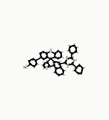 N#Cc1ccc(-c2ccc3c(c2)C2(c4ccccc4O3)c3ccccc3-c3c2cc(-c2nc(-c4ccccc4)nc(-c4ccccc4)n2)c2ccccc32)cc1